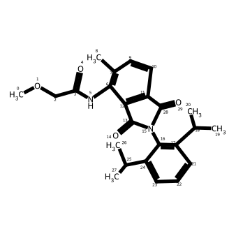 COCC(=O)Nc1c(C)ccc2c1C(=O)N(c1c(C(C)C)cccc1C(C)C)C2=O